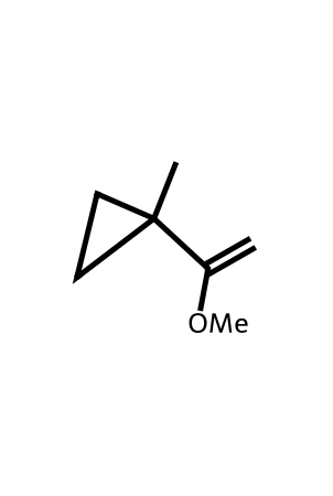 C=C(OC)C1(C)CC1